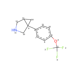 FC(F)(F)Oc1ccc(C23CNCC2C3)cc1